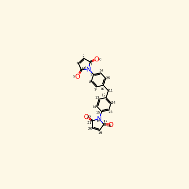 O=C1C=CC(=O)N1c1ccc([CH]c2ccc(N3C(=O)C=CC3=O)cc2)cc1